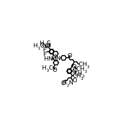 C=C(c1cccc(C#CC(CCC)CCC(=O)C2CCC(NC3=C(C(=N)N4CCCc5cc(/C(=C/NC)CC)c(C(F)F)cc54)CC(C(C)=O)CC3)CC2)c1N(C)C(C)=O)C(CCC=O)C(N)=O